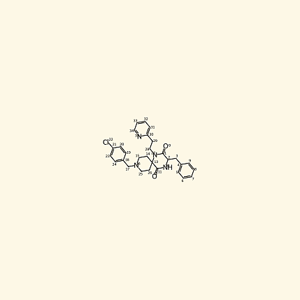 O=C1C(Cc2ccccc2)NC(=O)C2(CCN(Cc3ccc(Cl)cc3)CC2)N1CCc1ccccn1